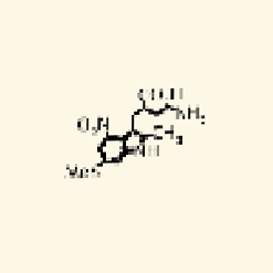 CSc1cc([N+](=O)[O-])c2c(CC(CCN)C(=O)O)c(C)[nH]c2c1